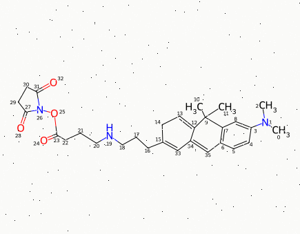 CN(C)c1ccc2c(c1)C(C)(C)C1=CCC(CCCNCCCC(=O)ON3C(=O)CCC3=O)=CC1=C2